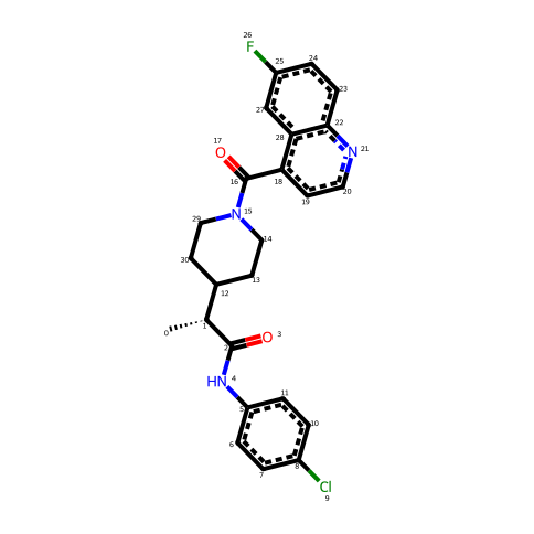 C[C@@H](C(=O)Nc1ccc(Cl)cc1)C1CCN(C(=O)c2ccnc3ccc(F)cc23)CC1